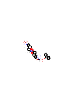 CC(C)(C)OC(=O)Nc1ccc2c(c1)[C@@]1(C)CCC[C@](C)(N(C=O)C(=O)[C@@]3(C)CCC[C@]4(C)c5cc(NC(=O)[C@H](CO)NC(=O)OCC6c7ccccc7-c7ccccc76)ccc5CC[C@@H]34)[C@@H]1CC2